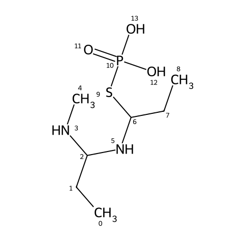 CCC(NC)NC(CC)SP(=O)(O)O